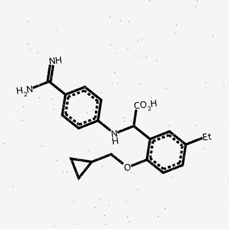 CCc1ccc(OCC2CC2)c(C(Nc2ccc(C(=N)N)cc2)C(=O)O)c1